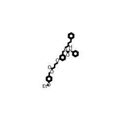 CCOc1ccc(COC(=O)CCCOc2cccc(CN(CCCCc3ccccc3)C(=O)Nc3ccccc3)c2)cc1